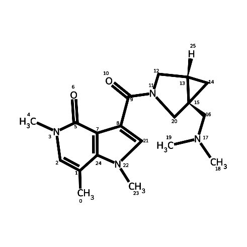 Cc1cn(C)c(=O)c2c(C(=O)N3C[C@@H]4C[C@]4(CN(C)C)C3)cn(C)c12